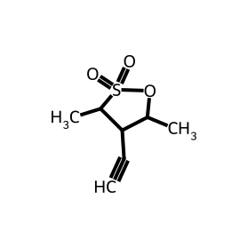 C#CC1C(C)OS(=O)(=O)C1C